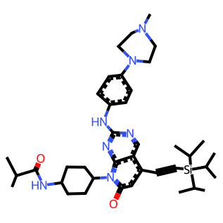 CC(C)C(=O)NC1CCC(n2c(=O)cc(C#C[Si](C(C)C)(C(C)C)C(C)C)c3cnc(Nc4ccc(N5CCN(C)CC5)cc4)nc32)CC1